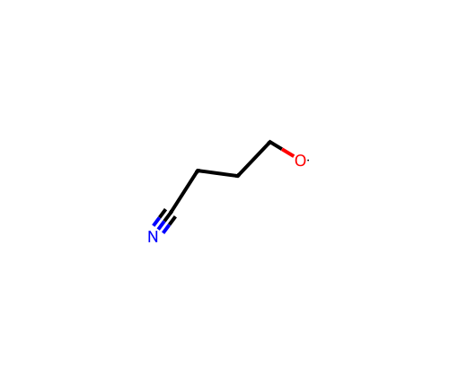 N#CCCC[O]